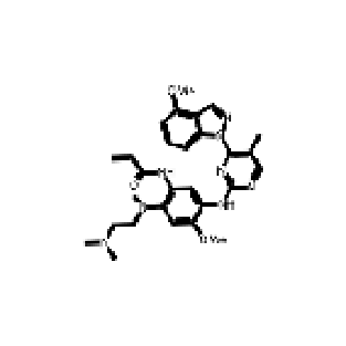 C=CC(=O)Nc1cc(Nc2ncc(C)c(-n3ncc4c(OC)cccc43)n2)c(OC)cc1N(C)CCN(C)C